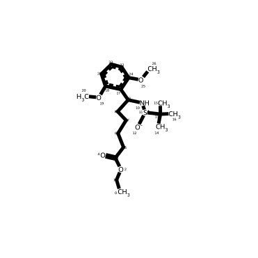 CCOC(=O)CCCCC(N[S+]([O-])C(C)(C)C)c1c(OC)cccc1OC